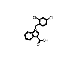 O=C(O)c1cn(Cc2ccc(Cl)cc2Cl)c2ccccc12